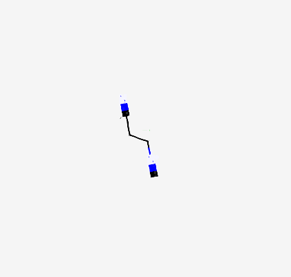 C#[N+]CCC#N.Cl.[Cl-]